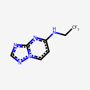 FC(F)(F)CNc1ccn2ncnc2n1